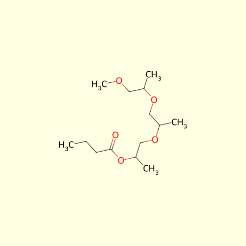 CCCC(=O)OC(C)COC(C)COC(C)COC